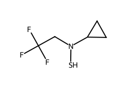 FC(F)(F)CN(S)C1CC1